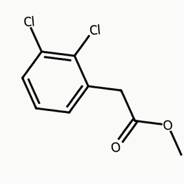 COC(=O)Cc1cccc(Cl)c1Cl